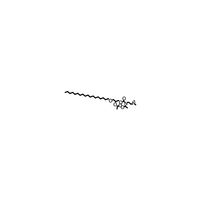 CCCCCCCCCCCCCCCCCCOCC(COC(=O)N(CCN(C)C)C(C)=O)OC(C)=O